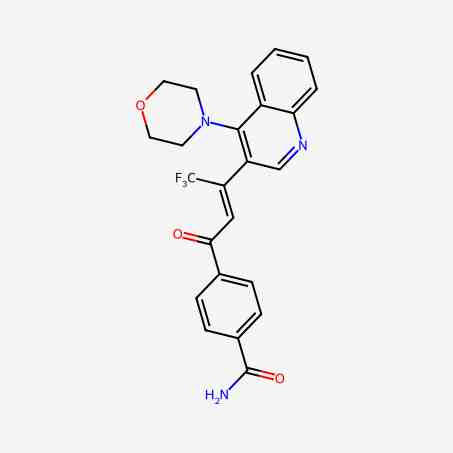 NC(=O)c1ccc(C(=O)C=C(c2cnc3ccccc3c2N2CCOCC2)C(F)(F)F)cc1